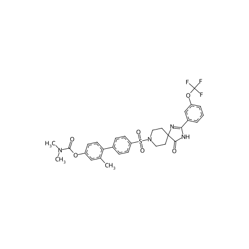 Cc1cc(OC(=O)N(C)C)ccc1-c1ccc(S(=O)(=O)N2CCC3(CC2)N=C(c2cccc(OC(F)(F)F)c2)NC3=O)cc1